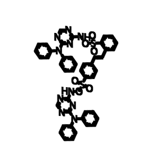 O=S(=O)(ONc1ncnc(N(c2ccccc2)c2ccccc2)n1)c1ccc(C=Cc2ccccc2S(=O)(=O)ONc2ncnc(N(c3ccccc3)c3ccccc3)n2)cc1